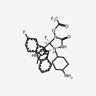 Cn1cc([C@@]2(F)N(OC(=O)C(F)(F)F)C(=O)N[N@@+]2(c2c[nH]c3ccccc23)C2CCC(N)CC2)c2cc(F)ccc21